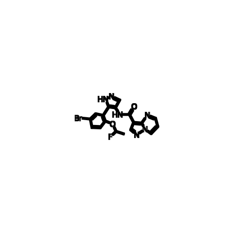 CC(F)Oc1ccc(Br)cc1-c1[nH]ncc1NC(=O)c1cnn2cccnc12